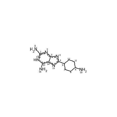 Nc1nc2nc(C3CCC(N)CC3)nc-2c(N)[nH]1